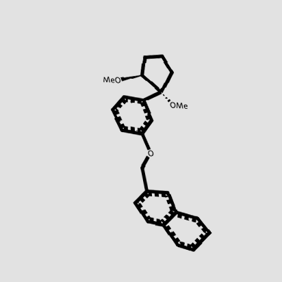 CO[C@H]1CCC[C@@]1(OC)c1cccc(OCc2ccc3ccccc3c2)c1